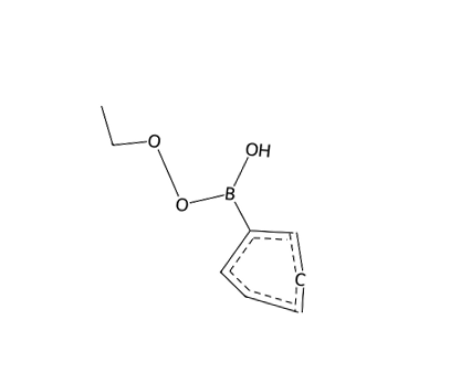 CCOOB(O)c1ccccc1